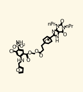 CCCn1c(=O)c2[nH]c(C34CCC(CCC(=O)OCOC(=O)c5cc(S(N)(=O)=O)c(Cl)cc5NCc5ccco5)(CC3)CC4)nc2n(CCC)c1=O